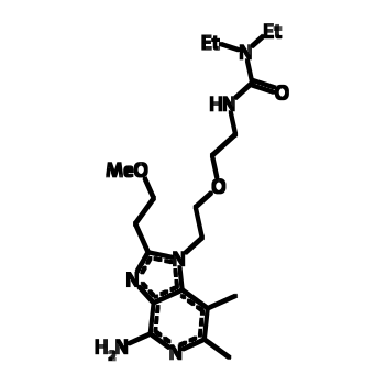 CCN(CC)C(=O)NCCOCCn1c(CCOC)nc2c(N)nc(C)c(C)c21